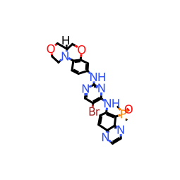 CP(C)(=O)c1c(Nc2nc(Nc3ccc4c(c3)OC[C@H]3COCCN43)ncc2Br)ccc2nccnc12